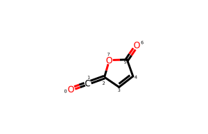 O=C=C1C=CC(=O)O1